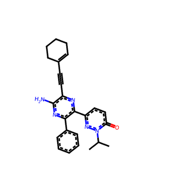 CC(C)n1nc(-c2nc(C#CC3=CCCCC3)c(N)nc2-c2ccccc2)ccc1=O